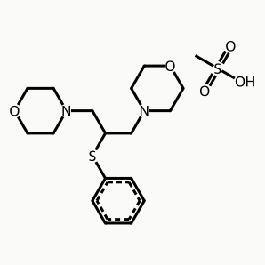 CS(=O)(=O)O.c1ccc(SC(CN2CCOCC2)CN2CCOCC2)cc1